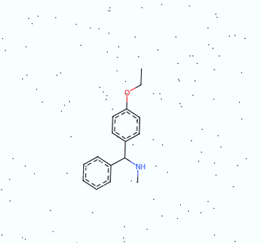 CCOc1ccc(C(NC)c2ccccc2)cc1